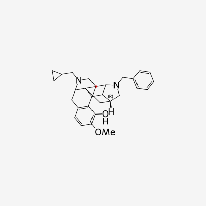 COc1ccc2c(c1O)C13CCN(CC4CC4)C(C2)C12CCC1C3[C@H](CN1Cc1ccccc1)C2